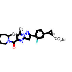 CCOC(=O)[C@H]1CC1c1ccc(-c2cc3nc(C(=O)N4CCCCCC4C)cc(CC)n3n2)c(F)c1